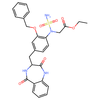 CCOC(=O)CN(c1ccc(CC2NC(=O)c3ccccc3NC2=O)cc1OCc1ccccc1)S(N)(=O)=O